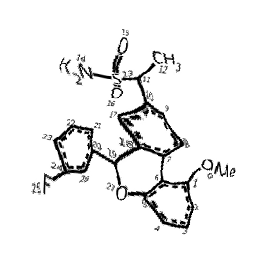 COc1cccc2c1-c1ccc(C(C)S(N)(=O)=O)cc1C(c1cccc(F)c1)O2